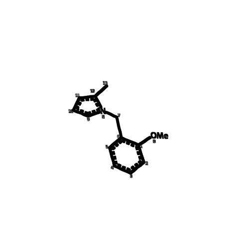 COc1ccccc1Cn1cccc1C